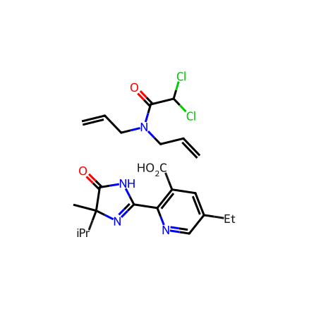 C=CCN(CC=C)C(=O)C(Cl)Cl.CCc1cnc(C2=NC(C)(C(C)C)C(=O)N2)c(C(=O)O)c1